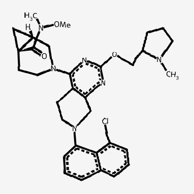 CON(C)C(=O)[C@]12CCN(c3nc(OCC4CCCN4C)nc4c3CCN(c3cccc5cccc(Cl)c35)C4)C[C@H]1C2